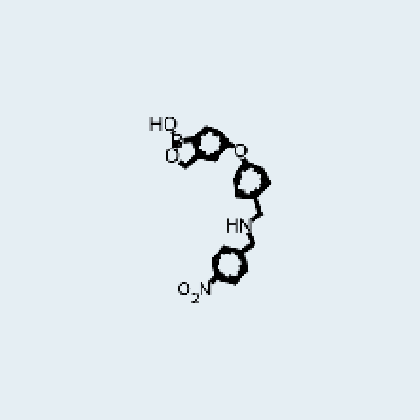 O=[N+]([O-])c1ccc(CNCc2ccc(Oc3ccc4c(c3)COB4O)cc2)cc1